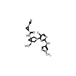 Cn1cc(Nc2ncc(F)c(N3C[C@]4(CO)C[C@@]4(NC(=O)[C@@H]4C[C@H]4C#N)C3)n2)cn1